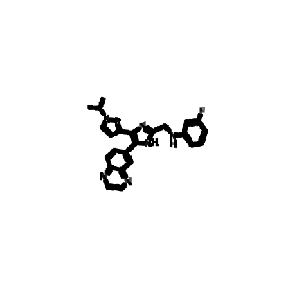 CC(C)n1ccc(-c2nc(CNc3cccc(F)c3)[nH]c2-c2ccc3nccnc3c2)n1